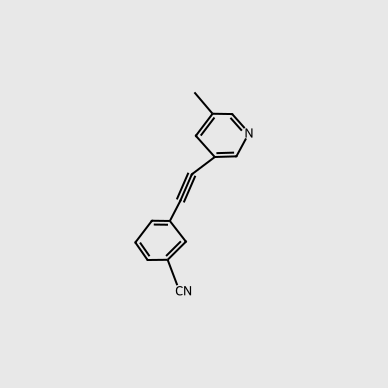 Cc1cncc(C#Cc2cccc(C#N)c2)c1